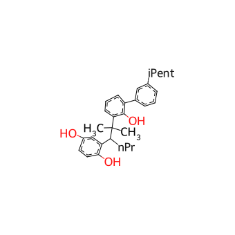 CCCC(C)c1cccc(-c2cccc(C(C)(C)C(CCC)c3cc(O)ccc3O)c2O)c1